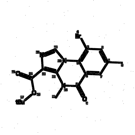 Cc1cc(Br)c2c(c1)c(=O)n(C)c1c(C(=O)OC(C)(C)C)ncn21